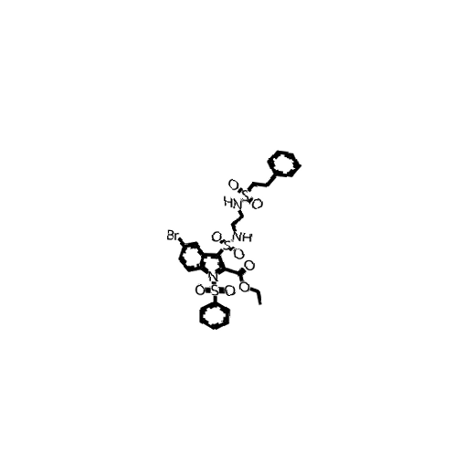 CCOC(=O)c1c(S(=O)(=O)NCCNS(=O)(=O)CCc2ccccc2)c2cc(Br)ccc2n1S(=O)(=O)c1ccccc1